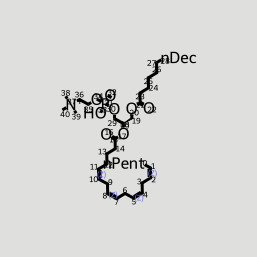 CCCCC/C=C\C/C=C\C/C=C\C/C=C\CCCC(=O)O[C@H](COC(=O)CCCCCCCCCCCCCCC)COP(=O)(O)OCC[N+](C)(C)C